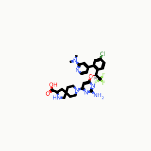 CN(C)c1cc(-c2cc(Cl)ccc2[C@@H](Oc2cc(N3CCC4(CC3)CNC(C(=O)O)C4)nc(N)n2)C(F)(F)F)ccn1